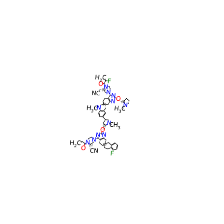 C=CC(=O)N1CCN(c2nc(OC[C@@H]3CC(c4ccc5c(c4)C[C@@]4(CCc6c(nc(OC[C@@H]7CCCN7C)nc6N6CCN(C(=O)C(=C)F)[C@@H](CC#N)C6)C4)CN5C)CN3C)nc3c2CC[C@@]2(CCc4c(F)cccc4C2)C3)C[C@@H]1CC#N